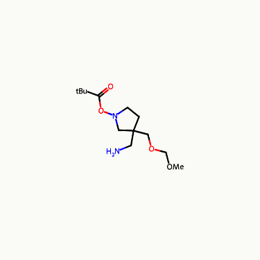 COCOCC1(CN)CCN(OC(=O)C(C)(C)C)C1